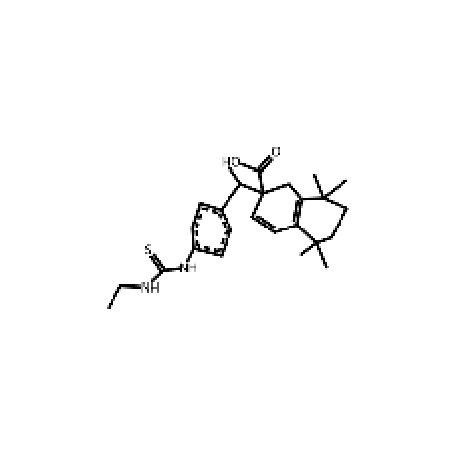 CCNC(=S)Nc1ccc(C(C)C2(C(=O)O)C=CC3=C(C2)C(C)(C)CCC3(C)C)cc1